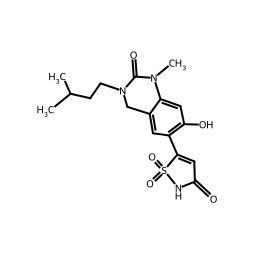 CC(C)CCN1Cc2cc(C3=CC(=O)NS3(=O)=O)c(O)cc2N(C)C1=O